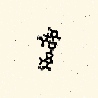 CC(C)n1c(C(N)=O)nc2c1CN([C@H]1CO[C@H](c3cc(F)ccc3F)[C@@H](N(C(=O)O)C(C)(C)C)C1)C2